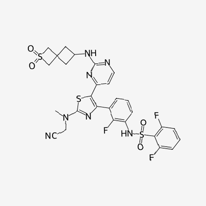 CN(CC#N)c1nc(-c2cccc(NS(=O)(=O)c3c(F)cccc3F)c2F)c(-c2ccnc(NC3CC4(C3)CS(=O)(=O)C4)n2)s1